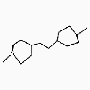 CC1CCC(CCC2CC[S+](C)CC2)CC1